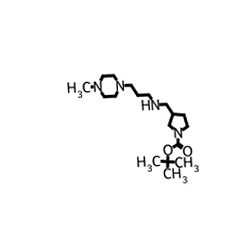 CN1CCN(CCCNCC2CCN(C(=O)OC(C)(C)C)C2)CC1